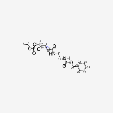 CCOP(=O)(O)O[C@H](C)/C=C/C(=O)NCCNC(=O)OCc1ccccc1